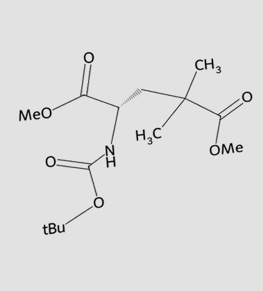 COC(=O)[C@H](CC(C)(C)C(=O)OC)NC(=O)OC(C)(C)C